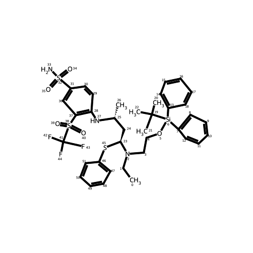 CCN(CCO[Si](c1ccccc1)(c1ccccc1)C(C)(C)C)[C@H](C[C@@H](C)Nc1ccc(S(N)(=O)=O)cc1S(=O)(=O)C(F)(F)F)Sc1ccccc1